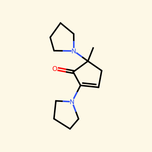 CC1(N2CCCC2)CC=C(N2CCCC2)C1=O